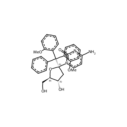 COc1ccccc1C(c1ccccc1)(c1ccccc1OC)[C@]1(n2ccc(N)nc2=O)C[C@H](O)[C@@H](CO)O1